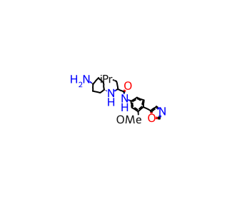 COc1cc(NC(=O)C(CC(C)C)N[C@H]2CC[C@H](N)CC2)ccc1-c1cnco1